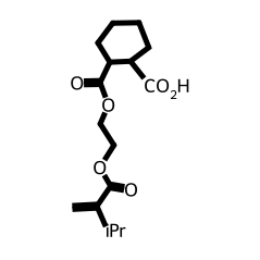 C=C(C(=O)OCCOC(=O)C1CCCCC1C(=O)O)C(C)C